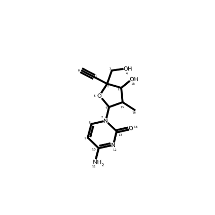 C#CC1(CO)OC(n2ccc(N)nc2=O)C(C)C1O